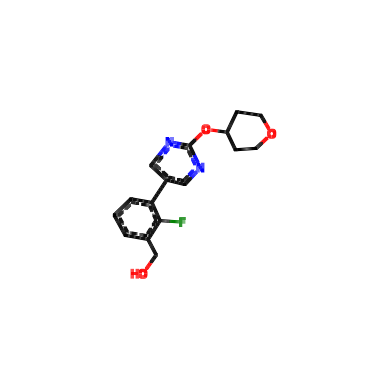 OCc1cccc(-c2cnc(OC3CCOCC3)nc2)c1F